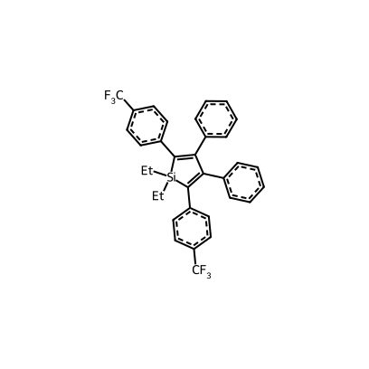 CC[Si]1(CC)C(c2ccc(C(F)(F)F)cc2)=C(c2ccccc2)C(c2ccccc2)=C1c1ccc(C(F)(F)F)cc1